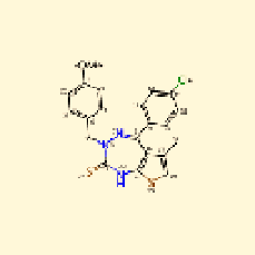 COc1ccc(CN2N=C(c3ccc(Cl)cc3)c3c(C)csc3NC2=S)cc1